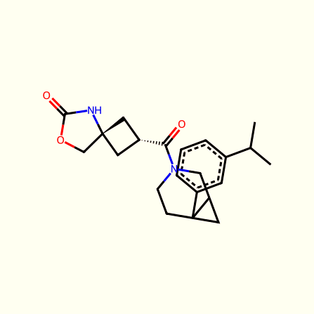 CC(C)c1cccc(C23CCN(C(=O)[C@H]4C[C@]5(COC(=O)N5)C4)CC2C3)c1